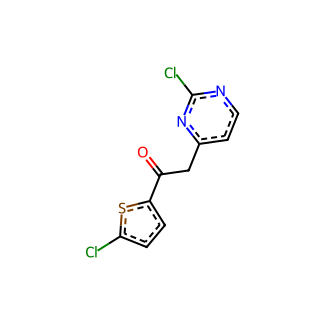 O=C(Cc1ccnc(Cl)n1)c1ccc(Cl)s1